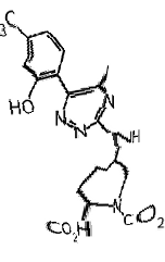 Cc1nc(NC2CCC(C(=O)O)N(C(=O)O)C2)nnc1-c1ccc(C(F)(F)F)cc1O